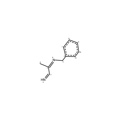 CC(C=N)=NCc1ccccc1